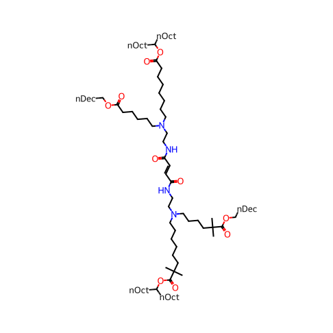 CCCCCCCCCCCOC(=O)CCCCCN(CCCCCCCC(=O)OC(CCCCCCCC)CCCCCCCC)CCNC(=O)/C=C/C(=O)NCCN(CCCCCCC(C)(C)C(=O)OC(CCCCCCCC)CCCCCCCC)CCCCC(C)(C)C(=O)OCCCCCCCCCCC